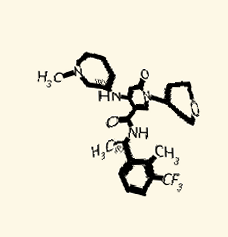 Cc1c([C@@H](C)NC(=O)c2cn(C3CCOCC3)c(=O)cc2N[C@@H]2CCCCN(C)C2)cccc1C(F)(F)F